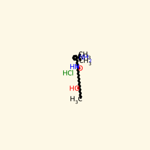 CCCCCCC(O)CCCCCCCCCCC(=O)NCCCc1ccccc1C(N)(CC)CC.Cl